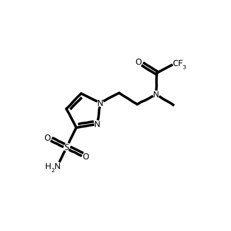 CN(CCn1ccc(S(N)(=O)=O)n1)C(=O)C(F)(F)F